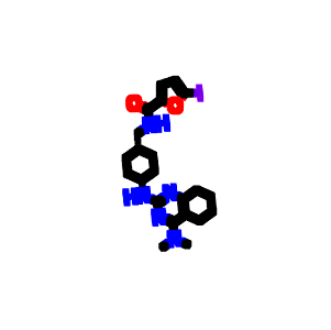 CN(C)c1nc(N[C@H]2CC[C@@H](CNC(=O)c3ccc(I)o3)CC2)nc2c1CCCC2